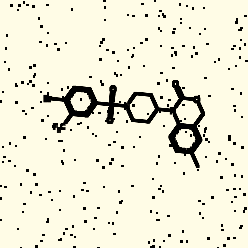 Cc1ccc2c(c1)COC(=O)N2C1CCN(S(=O)(=O)c2ccc(Br)c(C(F)(F)F)c2)CC1